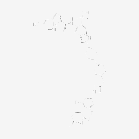 CC(C)(O)c1cc2nn([C@H]3CC[C@H](N4CCN(CC5CN(c6cc(F)c([C@H]7CCC(=O)NC7=O)c(F)c6)C5)CC4)CC3)cc2cc1NC(=O)c1ccc2n1NCC(C#N)=C2